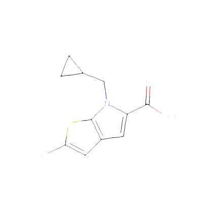 O=C(O)c1cc2cc(Br)sc2n1CC1CC1